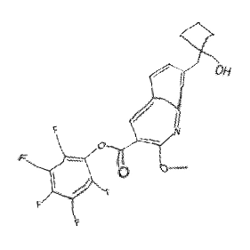 COc1nc2cc(C3(O)CCC3)ccc2cc1C(=O)Oc1c(F)c(F)c(F)c(F)c1F